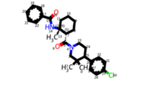 CC1(C)CN(C(=O)[C@H]2CCCC[C@@]2(C)NC(=O)c2ccccc2)CCC1c1ccc(Cl)cc1